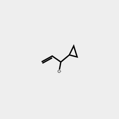 C=CC([O])C1CC1